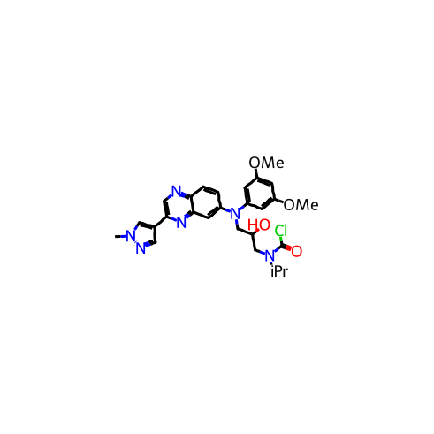 COc1cc(OC)cc(N(CC(O)CN(C(=O)Cl)C(C)C)c2ccc3ncc(-c4cnn(C)c4)nc3c2)c1